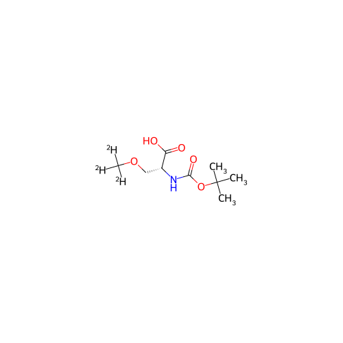 [2H]C([2H])([2H])OC[C@@H](NC(=O)OC(C)(C)C)C(=O)O